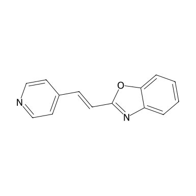 C(=Cc1nc2ccccc2o1)c1ccncc1